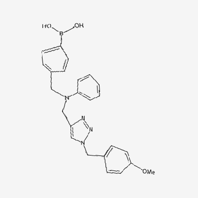 COc1ccc(Cn2cc(CN(Cc3ccc(B(O)O)cc3)c3ccccc3)nn2)cc1